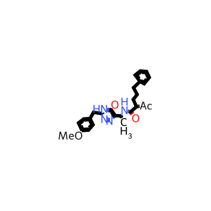 COc1ccc(Cc2nnc(C(C)NC(=O)C(CCCc3ccccc3)C(C)=O)c(=O)[nH]2)cc1